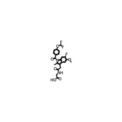 COc1cc2c(CC(=O)NCC(=O)O)c(C)n(C(=O)c3ccc(OC(F)F)cc3)c2cc1F